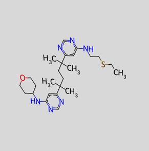 CCSCCNc1cc(C(C)(C)CCC(C)(C)c2cc(NC3CCOCC3)ncn2)ncn1